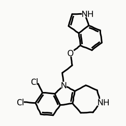 Clc1ccc2c3c(n(CCOc4cccc5[nH]ccc45)c2c1Cl)CCNCC3